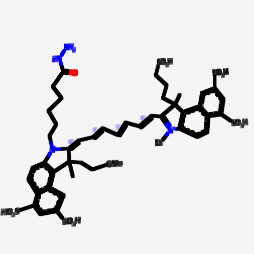 CC[N+]1=C(/C=C/C=C/C=C/C=C2/N(CCCCCC(=O)NN)c3ccc4c(S(=O)(=O)O)cc(S(=O)(=O)O)cc4c3C2(C)CCOC)C(C)(CCCS(=O)(=O)O)c2c1ccc1c(S(=O)(=O)O)cc(S(=O)(=O)O)cc21